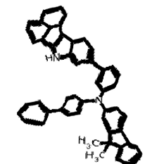 CC1(C)c2ccccc2-c2ccc(N(c3ccc(-c4ccccc4)cc3)c3cccc(-c4ccc5c6c([nH]c5c4)-c4cccc5cccc-6c45)c3)cc21